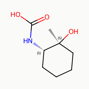 C[C@]1(O)CCCC[C@@H]1NC(=O)O